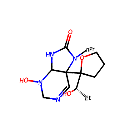 CCCN1C(=O)NC2N(O)CN=CC21C1([C@@H](O)CC)CCCO1